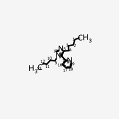 CCCCCc1n[c]n(CCCCC)c1-c1ccccn1